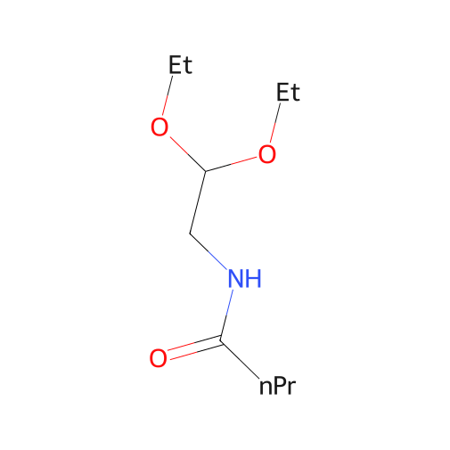 CCCC(=O)NCC(OCC)OCC